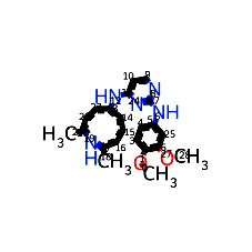 COc1ccc(Nc2nccc(Nc3cccc(C)[nH]c(C)cc3)n2)cc1OC